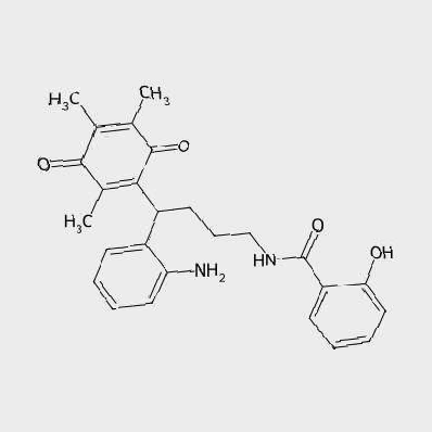 CC1=C(C)C(=O)C(C(CCCNC(=O)c2ccccc2O)c2ccccc2N)=C(C)C1=O